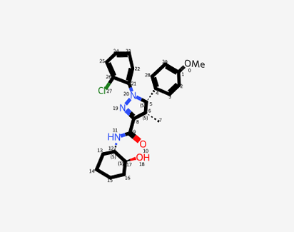 COc1ccc([C@@H]2[C@H](C)C(C(=O)N[C@H]3CCCC[C@@H]3O)=NN2c2ccccc2Cl)cc1